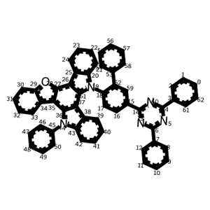 c1ccc(-c2nc(-c3ccccc3)nc(-c3ccc(-n4c5ccccc5c5c6oc7ccccc7c6c6c(c7ccccc7n6-c6ccccc6)c54)c(-c4ccccc4)c3)n2)cc1